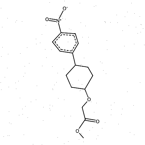 COC(=O)COC1CCC(c2ccc([N+](=O)[O-])cc2)CC1